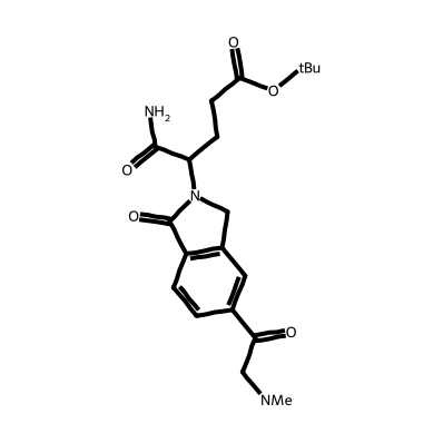 CNCC(=O)c1ccc2c(c1)CN(C(CCC(=O)OC(C)(C)C)C(N)=O)C2=O